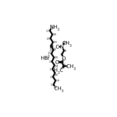 Br.C=C(C)C(=O)OCCN(C)C.CCCCCCCCCCCCCCCCN